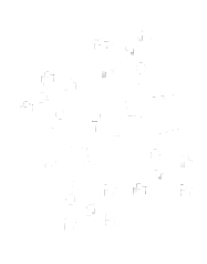 CC(C)[Si](OC1=CC(C[CH]([Zr])C2C=C(O[Si](C(C)C)(C(C)C)C(C)C)c3cccc(O[Si](C(C)C)(C(C)C)C(C)C)c32)c2c(O[Si](C(C)C)(C(C)C)C(C)C)cccc21)(C(C)C)C(C)C